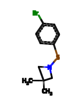 CC1(C)CN(Sc2ccc(Br)cc2)C1